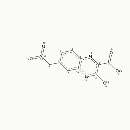 O=C(O)c1nc2ccc(C[SH](=O)=O)cc2nc1O